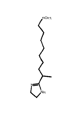 CCCCCCCCCCCCCCCC(C)C1=NCCN1